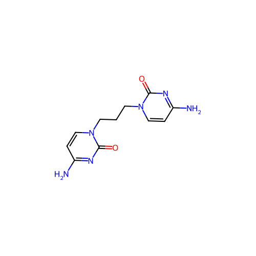 Nc1ccn(CCCn2ccc(N)nc2=O)c(=O)n1